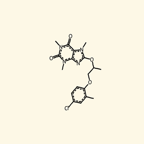 Cc1cc(Cl)ccc1OCC(C)Oc1nc2c(c(=O)n(C)c(=O)n2C)n1C